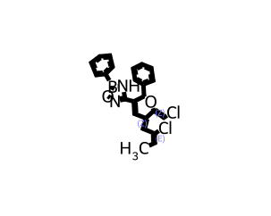 C\C=C(Cl)/C=C1/C=C(C2=NOB(c3ccccc3)N2)C(c2ccccc2)O/C1=C\Cl